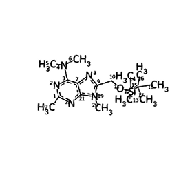 Cc1nc(N(C)C)c2nc(CO[Si](C)(C)C(C)(C)C)n(C)c2n1